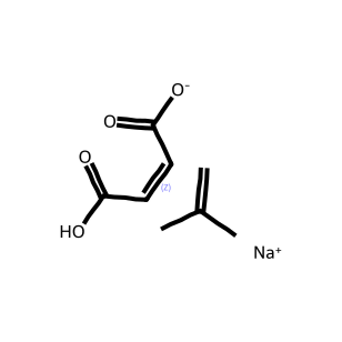 C=C(C)C.O=C([O-])/C=C\C(=O)O.[Na+]